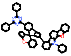 c1ccc(-c2nc(-c3ccccc3)nc(-c3ccc4c(c3)C3(c5ccccc5Oc5ccccc53)c3cc(-c5cccc6c5c5ccc7c8ccccc8oc7c5n6-c5ccccc5)ccc3-4)n2)cc1